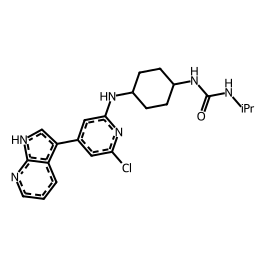 CC(C)NC(=O)NC1CCC(Nc2cc(-c3c[nH]c4ncccc34)cc(Cl)n2)CC1